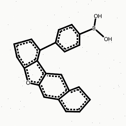 OB(O)c1ccc(-c2cccc3oc4cc5ccccc5cc4c23)cc1